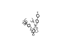 CCN(CC)CCN(Cc1ccc(-c2ccc(F)cc2)cc1)C(=O)Cn1c(SCc2ccc(B3OC(C)(C)C(C)(CC)O3)cc2)nc(=O)c2c1CCC2